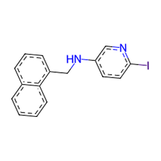 Ic1ccc(NCc2cccc3ccccc23)cn1